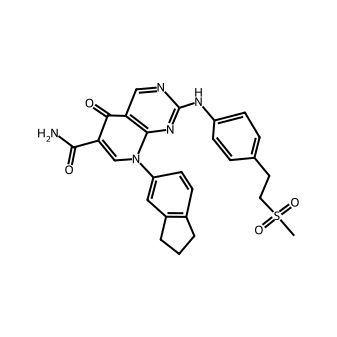 CS(=O)(=O)CCc1ccc(Nc2ncc3c(=O)c(C(N)=O)cn(-c4ccc5c(c4)CCC5)c3n2)cc1